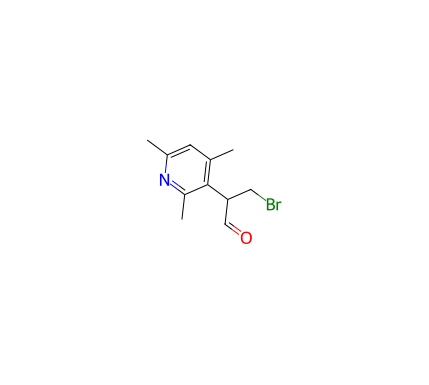 Cc1cc(C)c(C(C=O)CBr)c(C)n1